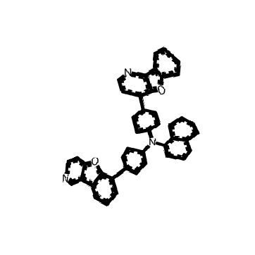 c1ccc2c(N(c3ccc(-c4cccc5c4oc4ccncc45)cc3)c3ccc(-c4ccnc5c4oc4ccccc45)cc3)cccc2c1